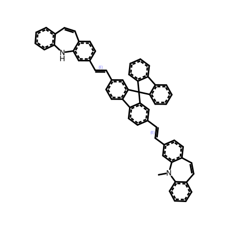 CN1c2ccccc2C=Cc2ccc(/C=C/c3ccc4c(c3)C3(c5ccccc5-c5ccccc53)c3cc(/C=C/c5ccc6c(c5)Nc5ccccc5C=C6)ccc3-4)cc21